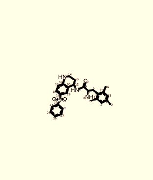 Cc1cc(C)c(CC(N)C(=O)NC2CCNc3ccc(S(=O)(=O)c4ccccc4)cc32)c(C)c1